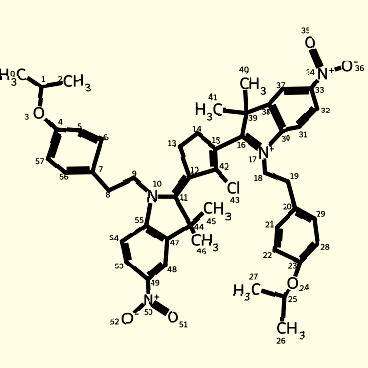 CC(C)Oc1ccc(CCN2/C(=C3\CCC(C4=[N+](CCc5ccc(OC(C)C)cc5)c5ccc([N+](=O)[O-])cc5C4(C)C)=C3Cl)C(C)(C)c3cc([N+](=O)[O-])ccc32)cc1